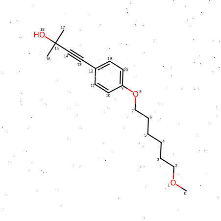 COCCCCCCOc1ccc(C#CC(C)(C)O)cc1